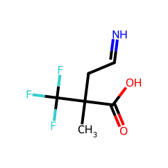 CC(CC=N)(C(=O)O)C(F)(F)F